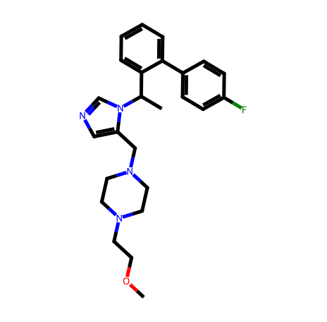 COCCN1CCN(Cc2cncn2C(C)c2ccccc2-c2ccc(F)cc2)CC1